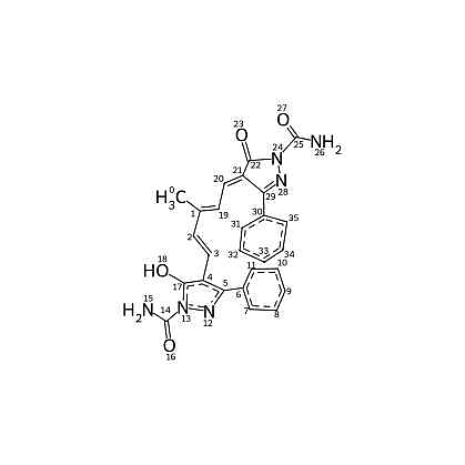 CC(C=Cc1c(-c2ccccc2)nn(C(N)=O)c1O)=CC=C1C(=O)N(C(N)=O)N=C1c1ccccc1